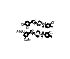 COc1cc(OC)cc(-c2csc(N3CCN(S(=O)(=O)c4ccc(F)c(Cl)c4)CC3)n2)c1.O=S(=O)(c1ccc(F)c(Cl)c1)N1CCN(c2nc(-c3ccc(Cl)c(Cl)c3)cs2)CC1